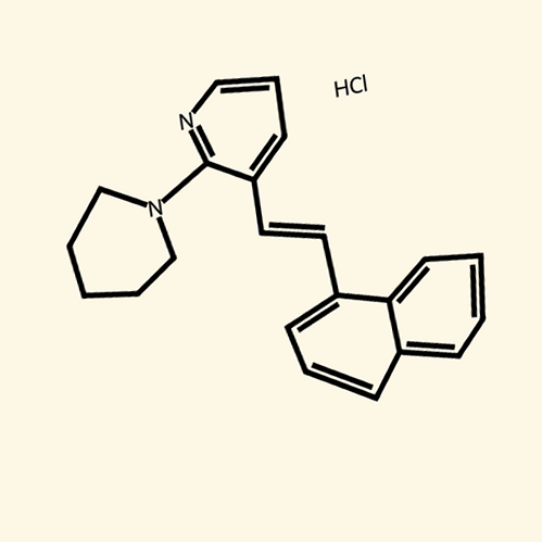 C(=Cc1cccc2ccccc12)c1cccnc1N1CCCCC1.Cl